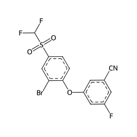 N#Cc1cc(F)cc(Oc2ccc(S(=O)(=O)C(F)F)cc2Br)c1